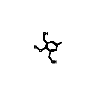 CCOc1c(CO)cc(C)cc1CO